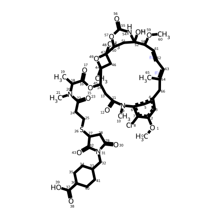 COc1cc2cc(c1Cl)N(C)C(=O)CC(OC(=O)C(C)N(C)C(=O)CCSC1CC(=O)N(CC3CCC(C(=O)O)CC3)C1=O)C1(C)CC(C)(O1)C1CC(O)(NC(=O)O1)C(OC)/C=C/C=C(\C)C2